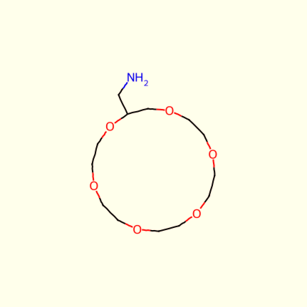 NCC1COCCOCCOCCOCCOCCO1